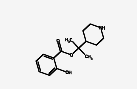 CC(C)(OC(=O)c1ccccc1O)C1CCNCC1